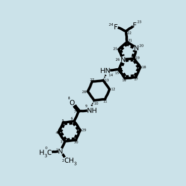 CN(C)c1ccc(C(=O)N[C@H]2CC[C@@H](Nc3cccc4nc(C(F)F)cn34)CC2)cc1